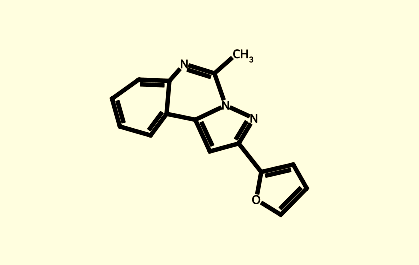 Cc1nc2ccccc2c2cc(-c3ccco3)nn12